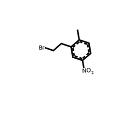 Cc1ccc([N+](=O)[O-])cc1CCBr